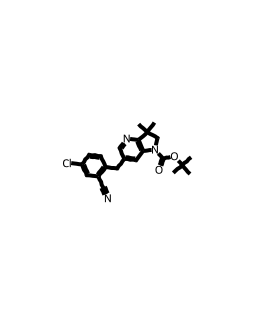 CC(C)(C)OC(=O)N1CC(C)(C)c2ncc(Cc3ccc(Cl)cc3C#N)cc21